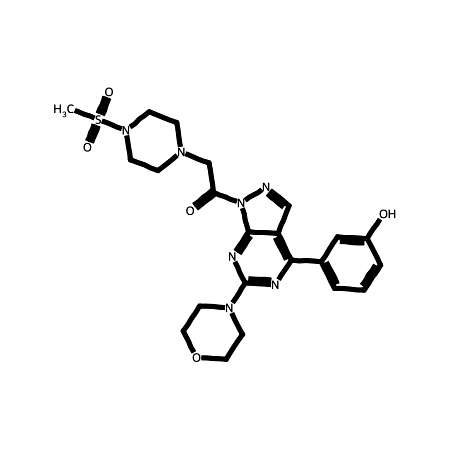 CS(=O)(=O)N1CCN(CC(=O)n2ncc3c(-c4cccc(O)c4)nc(N4CCOCC4)nc32)CC1